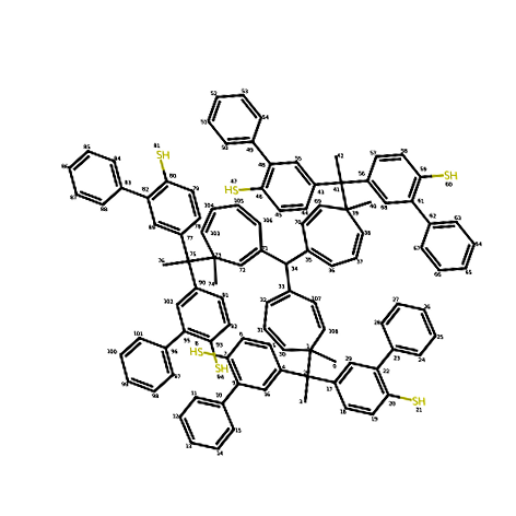 CC1(C(C)(c2ccc(S)c(-c3ccccc3)c2)c2ccc(S)c(-c3ccccc3)c2)C=CC=C(C(C2=CC=CC(C)(C(C)(c3ccc(S)c(-c4ccccc4)c3)c3ccc(S)c(-c4ccccc4)c3)C=C2)C2=CC(C)(C(C)(c3ccc(S)c(-c4ccccc4)c3)c3ccc(S)c(-c4ccccc4)c3)C=CC=C2)C=C1